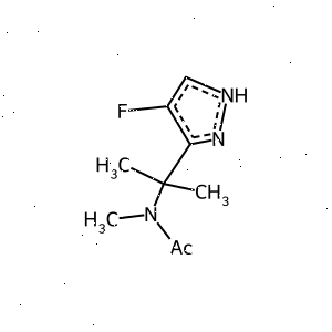 CC(=O)N(C)C(C)(C)c1n[nH]cc1F